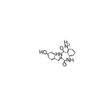 Nc1cccc2c1C(=O)N[C@H](Cc1ccc(O)cc1)C(=O)N2